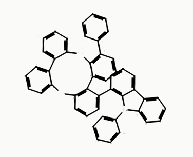 c1ccc(-c2cccc3c2Oc2ccccc2-c2ccccc2Oc2cccc(-c4cccc5c6ccccc6n(-c6ccccc6)c45)c2-3)cc1